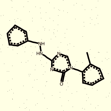 Cc1ccccc1-n1cnc(NNc2ccccc2)nc1=O